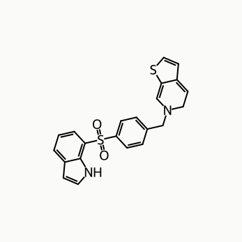 O=S(=O)(c1ccc(CN2C=c3sccc3=CC2)cc1)c1cccc2cc[nH]c12